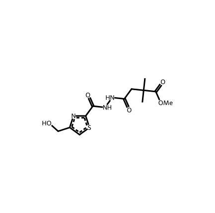 COC(=O)C(C)(C)CC(=O)NNC(=O)c1nc(CO)cs1